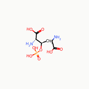 C[C@@H](OP(=O)(O)O)[C@H](N)C(=O)O.NCC(=O)O